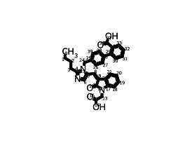 CCCCc1ncc(C=C2C(=O)N(CC(=O)O)c3ccccc32)n1Cc1ccc(-c2ccccc2C(=O)O)cc1